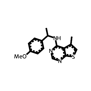 COc1ccc(C(C)Nc2ncnc3scc(C)c23)cc1